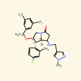 Cc1cc(F)ccc1[C@@H]1[C@@H](O[C@H](C)c2cc(C(F)(F)F)cc(C(F)(F)F)c2)CN2C(=O)CC(NCc3cnn(C)c3)[C@@H]12